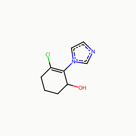 O[C]1CCCC(Cl)=C1n1ccnc1